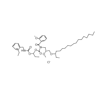 CCCCCCCCCCCCCCCC(CC)OCC(CN(C(=O)OC(CC)OC(=O)NCc1cccc[n+]1CC)C(=O)c1ccccc1OC)OC.[Cl-]